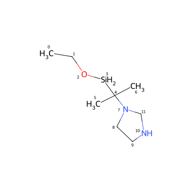 CCO[SiH2]C(C)(C)N1CCNC1